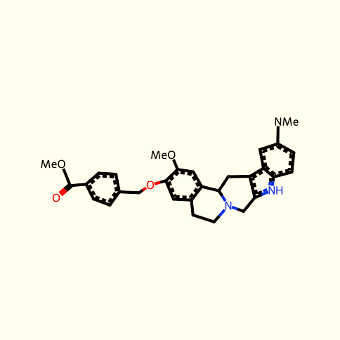 CNc1ccc2[nH]c3c(c2c1)CC1c2cc(OC)c(OCc4ccc(C(=O)OC)cc4)cc2CCN1C3